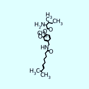 CC[C@H](C)[C@H](N)C(=O)Oc1ccc(CNC(=O)CCCC/C=C/C(C)C)cc1OC